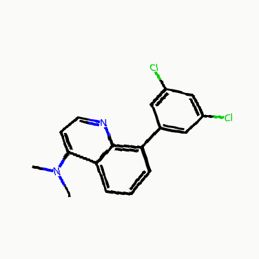 CN(C)c1ccnc2c(-c3cc(Cl)cc(Cl)c3)cccc12